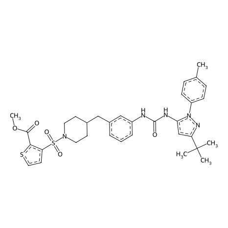 COC(=O)c1sccc1S(=O)(=O)N1CCC(Cc2cccc(NC(=O)Nc3cc(C(C)(C)C)nn3-c3ccc(C)cc3)c2)CC1